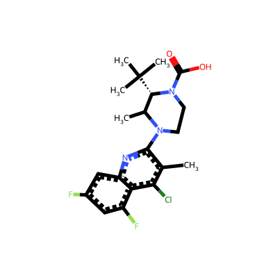 Cc1c(N2CCN(C(=O)O)[C@@H](C(C)(C)C)C2C)nc2cc(F)cc(F)c2c1Cl